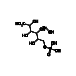 CC(C)O.O=C(O)C(O)C(O)C(O)C(O)COP(=O)(O)O